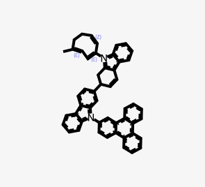 C\C1=C/C=C(n2c3c(c4ccccc42)C=CC(c2ccc4c5ccccc5n(-c5ccc6c7ccccc7c7ccccc7c6c5)c4c2)C3)\C=C/CC1